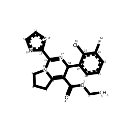 CCOC(=O)C1=C2CCCN2C(c2nccs2)=NC1c1cccc(F)c1Cl